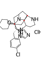 Cl.O=C([C@@H](Cc1ccc(Cl)cc1)NC1CCNCC1)N1C2CCC1CC(Cn1cncn1)(C1CCCCC1)C2